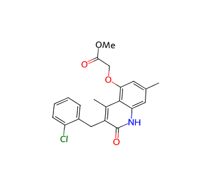 COC(=O)COc1cc(C)cc2[nH]c(=O)c(Cc3ccccc3Cl)c(C)c12